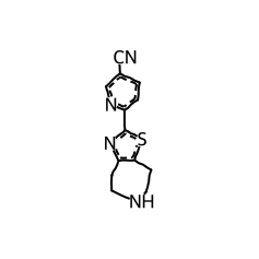 N#Cc1ccc(-c2nc3c(s2)CCNCC3)nc1